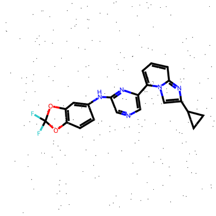 FC1(F)Oc2ccc(Nc3cncc(-c4cccc5nc(C6CC6)cn45)n3)cc2O1